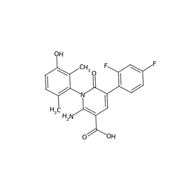 Cc1ccc(O)c(C)c1-n1c(N)c(C(=O)O)cc(-c2ccc(F)cc2F)c1=O